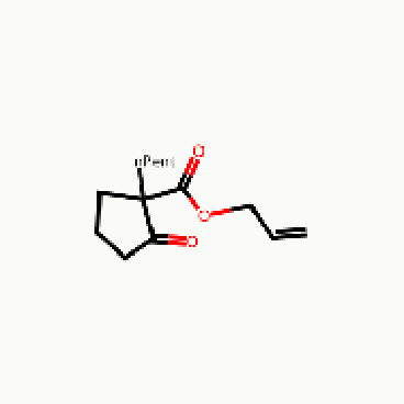 C=CCOC(=O)C1(CCCCC)CCCC1=O